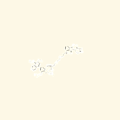 C=C1c2cnccc2C(c2cc(OC)c(CN(C)CC(=O)NCCOCCOCCNc3cccc4c3C(=O)N(C3CCC(=O)NC3=O)C4=O)c(OC)c2)=CN1C